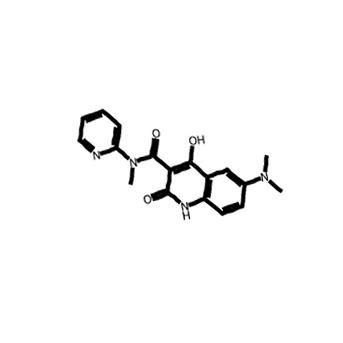 CN(C)c1ccc2[nH]c(=O)c(C(=O)N(C)c3ccccn3)c(O)c2c1